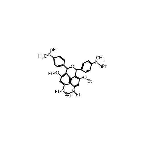 CCCN(C)c1ccc(C(OC(c2ccc(N(C)CCC)cc2)c2ccc(N(CC)CC)cc2OCC)c2ccc(N(CC)CC)cc2OCC)cc1